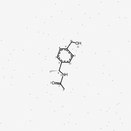 CC(=O)N[C@H](C)c1ccc(CO)cc1